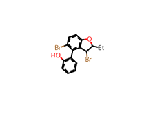 CCC1Oc2ccc(Br)c(-c3ccccc3O)c2[C]1Br